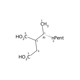 CCCCC[C@@H](C)C(CC(=O)O)C(=O)O